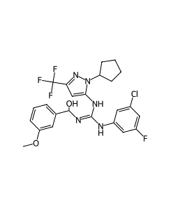 COc1cccc(C(O)/N=C(/Nc2cc(F)cc(Cl)c2)Nc2cc(C(F)(F)F)nn2C2CCCC2)c1